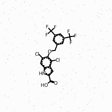 O=C(O)c1cc2c(Cl)c(OCc3cc(C(F)(F)F)cc(C(F)(F)F)c3)c(Cl)cc2[nH]1